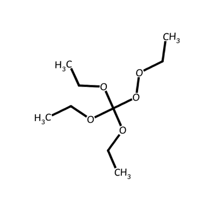 CCOOC(OCC)(OCC)OCC